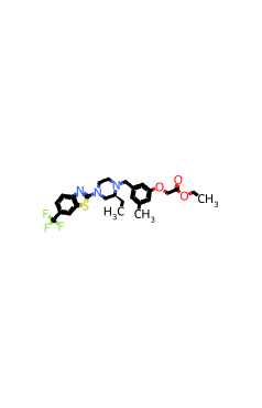 CCOC(=O)COc1cc(C)cc(CN2CCN(c3nc4ccc(C(F)(F)F)cc4s3)C[C@@H]2CC)c1